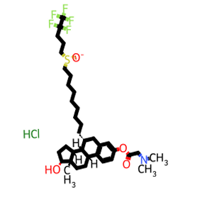 CN(C)CC(=O)Oc1ccc2c(c1)C[C@@H](CCCCCCCCC[S+]([O-])CCCC(F)(F)C(F)(F)F)[C@@H]1[C@@H]2CC[C@]2(C)[C@@H](O)CC[C@@H]12.Cl